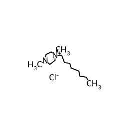 CCCCCCCC[N+]1(C)CCN(C)CC1.[Cl-]